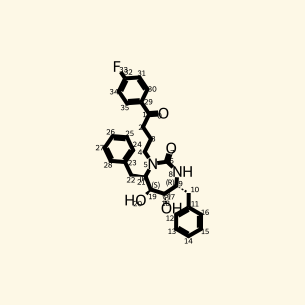 O=C(CCCN1C(=O)N[C@H](Cc2ccccc2)[C@H](O)[C@@H](O)[C@H]1Cc1ccccc1)c1ccc(F)cc1